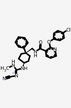 CN/C(=N\C#N)N[C@H]1CC[C@](CNC(=O)c2cccnc2Oc2ccc(Cl)cc2)(c2ccccc2)CC1